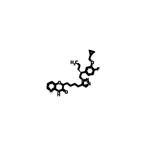 CCC[C@@H](Cn1nncc1CCCCC1Oc2cccnc2NC1=O)c1ccc(F)c(OCC2CC2)c1